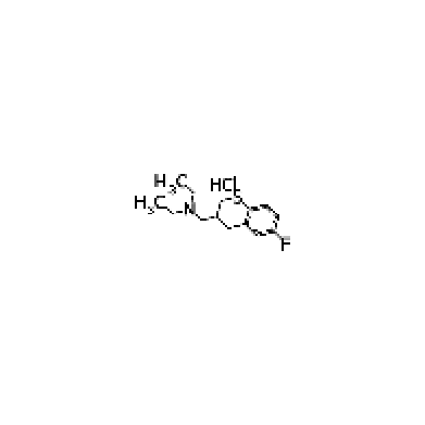 CCN(CC)CC1CSc2ccc(F)cc2C1.Cl